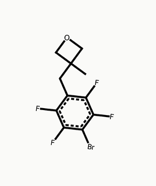 CC1(Cc2c(F)c(F)c(Br)c(F)c2F)COC1